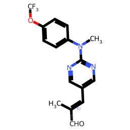 C/C(C=O)=C\c1cnc(N(C)c2ccc(OC(F)(F)F)cc2)nc1